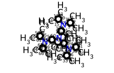 Cc1cc(C)cc(N(c2cc(C)cc(C)c2)c2ccc3c(c2)C(C)(C)c2cc(N(c4cc(C)cc(C)c4)c4cc(C)cc(C)c4)cc4c2N3c2ccc(N(c3cc(C)cc(C)c3)c3cc(C)cc(C)c3)cc2C4(C)C)c1